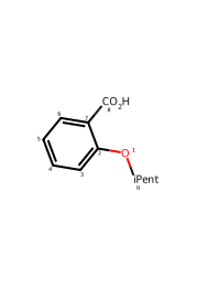 CCCC(C)Oc1ccccc1C(=O)O